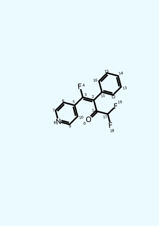 O=C(C(=C(F)c1ccncc1)c1ccccc1)C(F)F